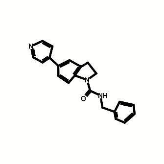 O=C(NCc1ccccc1)N1CCc2cc(-c3ccncc3)ccc21